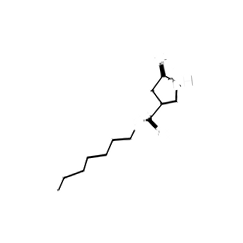 CCCCCCCOC(=O)C1CNC(=O)C1